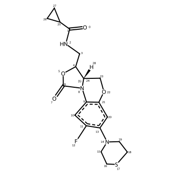 O=C(NCC1OC(=O)N2c3cc(F)c(N4CCSCC4)cc3OC[C@@H]12)C1CC1